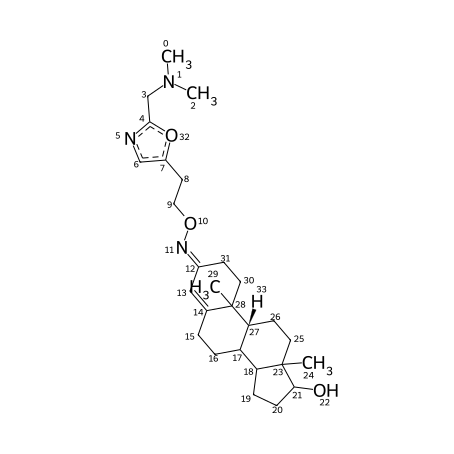 CN(C)Cc1ncc(CCON=C2C=C3CCC4C5CCC(O)C5(C)CC[C@H]4C3(C)CC2)o1